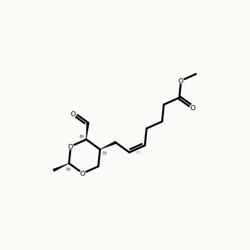 COC(=O)CCC/C=C\C[C@H]1CO[C@@H](C)O[C@H]1C=O